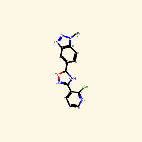 CC(C)n1nnc2cc(C3NC(c4cccnc4Cl)=NO3)ccc21